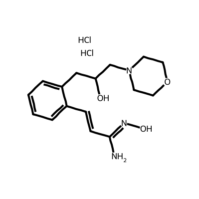 Cl.Cl.NC(C=Cc1ccccc1CC(O)CN1CCOCC1)=NO